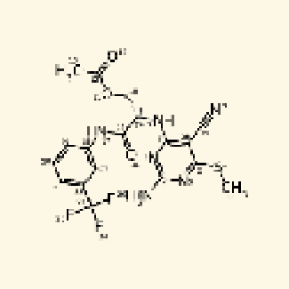 CSc1nc(N)nc(N[C@@H](COC(C)=O)C(=O)Nc2cccc(C(F)(F)F)c2)c1C#N